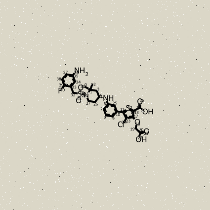 CC1(C)C[C@H](Nc2cccc(-c3sc(C(=O)O)c(OCC(=O)O)c3Cl)c2)CCN1S(=O)(=O)Cc1cc(N)ccc1F